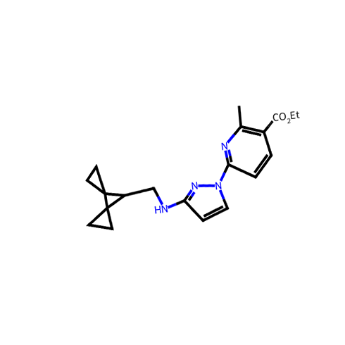 CCOC(=O)c1ccc(-n2ccc(NCC3C4(CC4)C34CC4)n2)nc1C